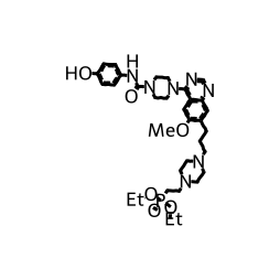 CCOP(=O)(CCN1CCN(CCCc2cc3ncnc(N4CCN(C(=O)Nc5ccc(O)cc5)CC4)c3cc2OC)CC1)OCC